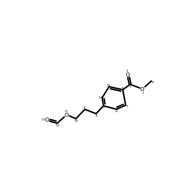 COC(=O)c1ccc(CCCOC=O)cc1